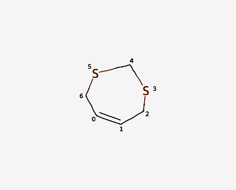 C1=CCSCSC1